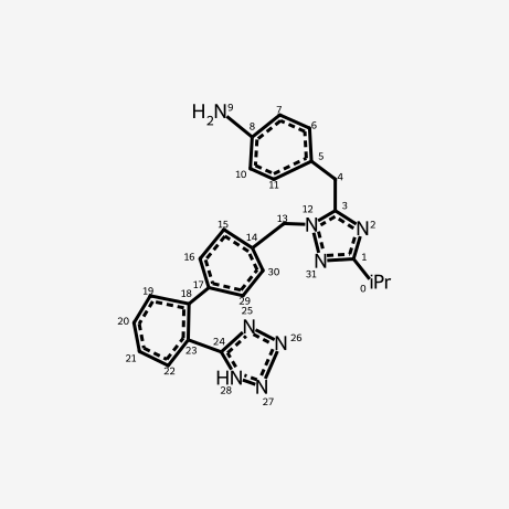 CC(C)c1nc(Cc2ccc(N)cc2)n(Cc2ccc(-c3ccccc3-c3nnn[nH]3)cc2)n1